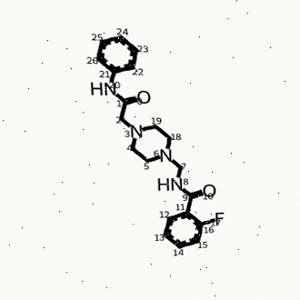 O=C(CN1CCN(CNC(=O)c2ccccc2F)CC1)Nc1ccccc1